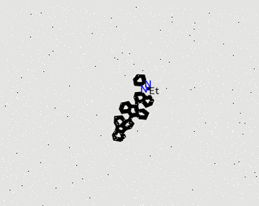 CCc1nc2ccccc2n1-c1ccc(-c2c3ccccc3c(-c3ccc4c5c(cccc35)-c3ccccc3-4)c3ccccc23)c2ccccc12